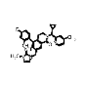 Cc1ccnc(C(C2CC2)N2CCc3c(cc(Cn4ccn(C)c4=N)cc3-c3ccc(F)cc3C)C2=O)c1